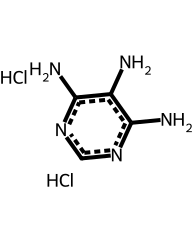 Cl.Cl.Nc1ncnc(N)c1N